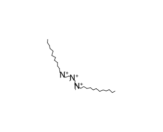 CCCCCCCCCCCC[N+](C)(C)CC[N+](C)(C)CC[N+](C)(C)CCCCCCCCCCCC